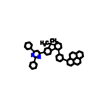 CC1(C)c2cc(-c3cc(-c4ccccc4)nc(-c4ccccc4)n3)ccc2-c2c(-c3cccc(-c4ccc5ccc6cccc7ccc4c5c67)c3)cccc21